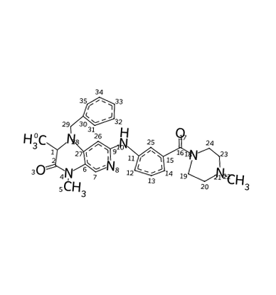 CC1C(=O)N(C)c2cnc(Nc3cccc(C(=O)N4CCN(C)CC4)c3)cc2N1Cc1ccccc1